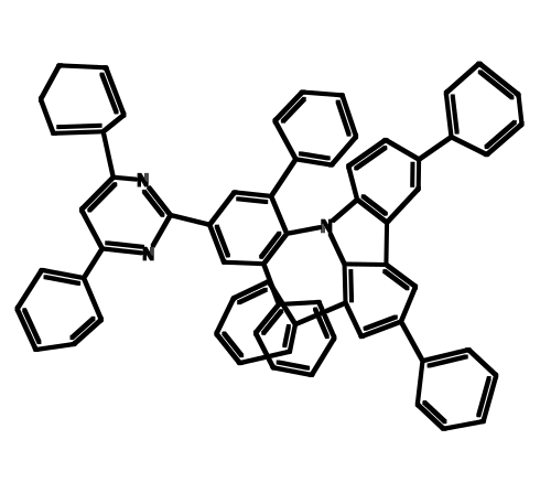 C1=CC(c2cc(-c3ccccc3)nc(-c3cc(-c4ccccc4)c(-n4c5ccc(-c6ccccc6)cc5c5cc(-c6ccccc6)cc(-c6ccccc6)c54)c(-c4ccccc4)c3)n2)=CCC1